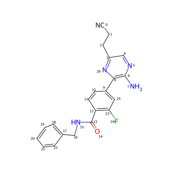 N#CCCc1cnc(N)c(-c2ccc(C(=O)NCc3ccccc3)c(F)c2)n1